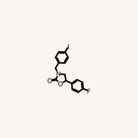 O=C1OC(c2ccc(F)cc2)CN1Cc1ccc(I)cc1